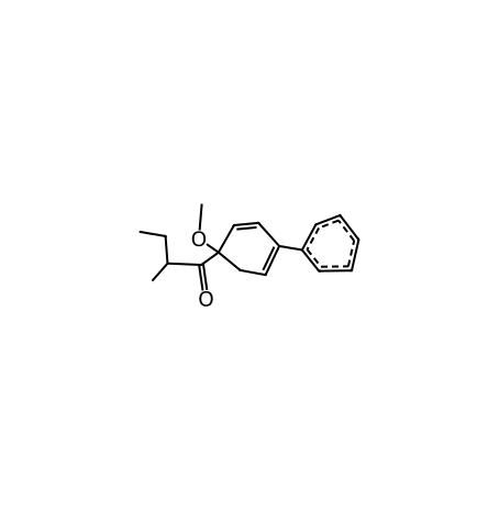 CCC(C)C(=O)C1(OC)C=CC(c2ccccc2)=CC1